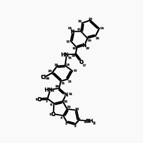 Bc1ccc2oc3c(=O)[nH]c(-c4ccc(NC(=O)c5cnc6ccccc6n5)cc4Cl)nc3c2c1